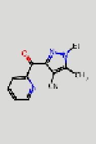 CCn1nc(C(=O)c2ccccn2)c(C#N)c1C